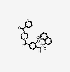 O=C(c1cccnc1)N1CCN(C(=O)c2ccc(NS(=O)(=O)c3cccc4cccnc34)c(OC(F)(F)F)c2)CC1